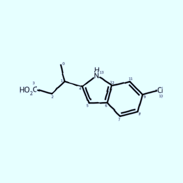 CC(CC(=O)O)c1cc2ccc(Cl)cc2[nH]1